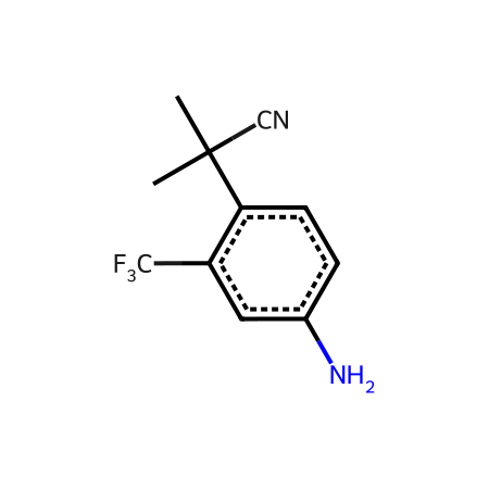 CC(C)(C#N)c1ccc(N)cc1C(F)(F)F